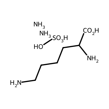 N.N.NCCCCC(N)C(=O)O.O=S(=O)(O)O